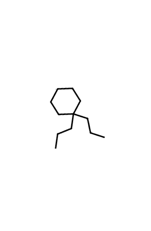 CCCC1(CCC)CC[CH]CC1